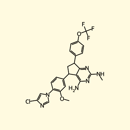 CNc1nc(N)c2c(n1)C(c1ccc(OC(F)(F)F)cc1)CC2c1ccc(-n2cnc(Cl)c2)c(OC)c1